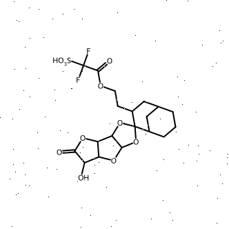 O=C1OC2C3OC4(OC3OC2C1O)C1CCCC(C1)CC4CCOC(=O)C(F)(F)S(=O)(=O)O